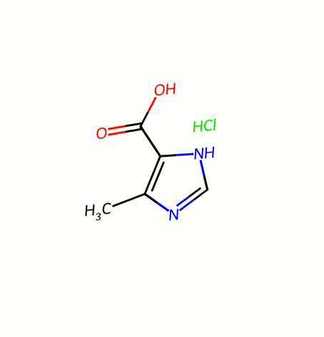 Cc1nc[nH]c1C(=O)O.Cl